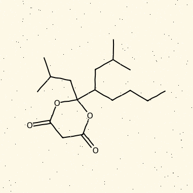 CCCCC(CC(C)C)C1(CC(C)C)OC(=O)CC(=O)O1